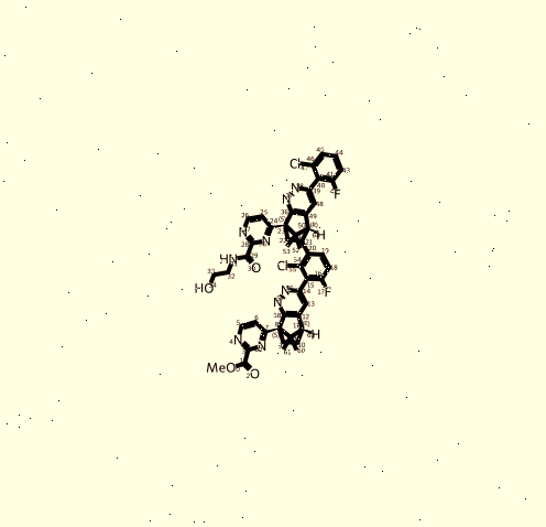 COC(=O)c1nccc([C@@]23CC[C@@H](c4cc(-c5c(F)ccc(C6C[C@]7(c8ccnc(C(=O)NCCO)n8)c8nnc(-c9c(F)cccc9Cl)cc8[C@H]6C7(C)C)c5Cl)nnc42)C3(C)C)n1